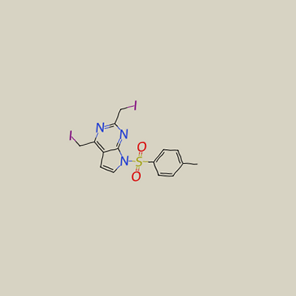 Cc1ccc(S(=O)(=O)n2ccc3c(CI)nc(CI)nc32)cc1